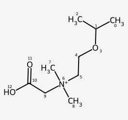 CC(C)OCC[N+](C)(C)CC(=O)O